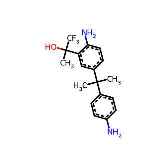 CC(C)(c1ccc(N)cc1)c1ccc(N)c(C(C)(O)C(F)(F)F)c1